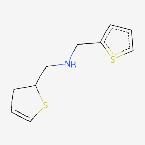 C1=CSC(CNCc2cccs2)C1